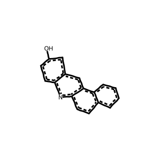 Oc1ccc2nc3ccc4ccccc4c3cc2c1